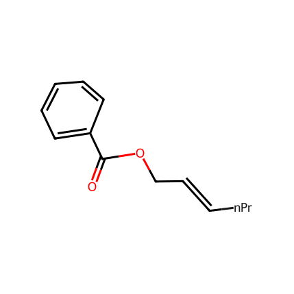 CCCC=CCOC(=O)c1ccccc1